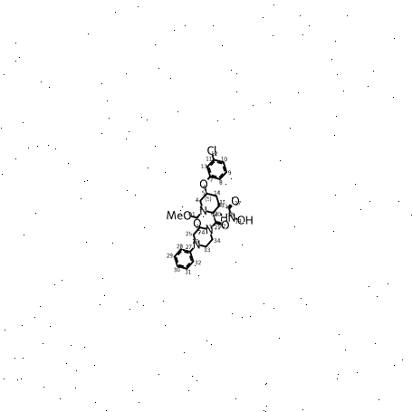 COC(=O)N1C[C@@H](Oc2cccc(Cl)c2)C[C@H](C(=O)NO)[C@H]1C(=O)N1CCN(c2ccccc2)CC1